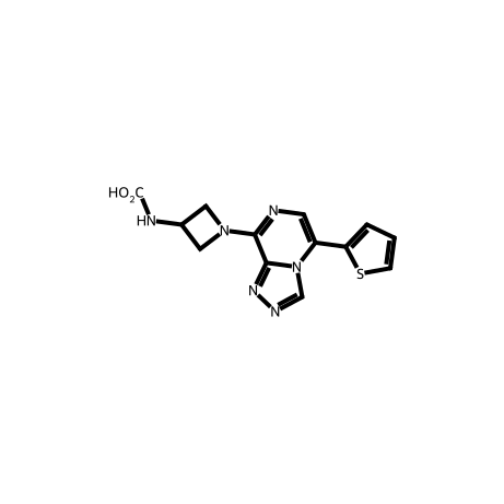 O=C(O)NC1CN(c2ncc(-c3cccs3)n3cnnc23)C1